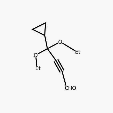 CCOC(C#CC=O)(OCC)C1CC1